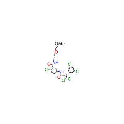 COCCOCCCNC(=O)c1cc(NC(=O)[C@H]2[C@H](c3cc(Cl)cc(Cl)c3)C2(Cl)Cl)ccc1Cl